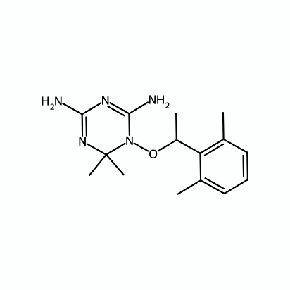 Cc1cccc(C)c1C(C)ON1C(N)=NC(N)=NC1(C)C